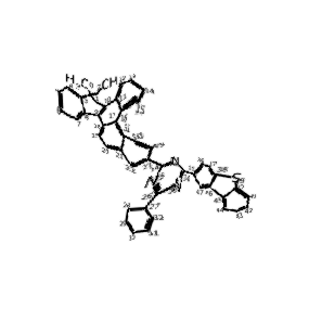 CC1(C)c2ccccc2-c2c1c1ccccc1c1c2ccc2cc(-c3nc(-c4ccccc4)nc(-c4ccc5sc6ccccc6c5c4)n3)ccc21